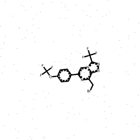 FC(F)(F)Oc1ccc(-c2cn3c(C(F)(F)F)nnc3c(CBr)n2)cc1